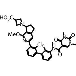 COc1nc(-c2cccc(-c3cccc(NC(=O)c4cn(C)c(=O)n(C)c4=O)c3Cl)c2Cl)cc2c1C(N1CC(C(=O)O)C1)CC2